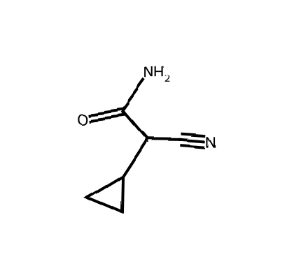 N#C[C](C(N)=O)C1CC1